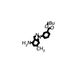 Cc1cc(N)c2cnn(-c3cccc(C(=O)OC(C)(C)C)c3)c2c1